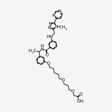 CC(NC(=O)c1cccc(NCc2nnc(-c3ccncn3)n2C)c1)c1cccc(OCCCCCOCCCOCC(=O)O)c1